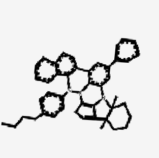 CCCCc1ccc(N2B3C4=C5C(=CC4)C4(C)CCCCC4(C)N5c4cc(-c5ccccc5)cc(c43)-c3ccc4ccccc4c32)cc1